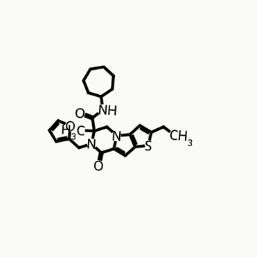 CCc1cc2c(cc3n2CC(C)(C(=O)NC2CCCCCC2)N(Cc2ccco2)C3=O)s1